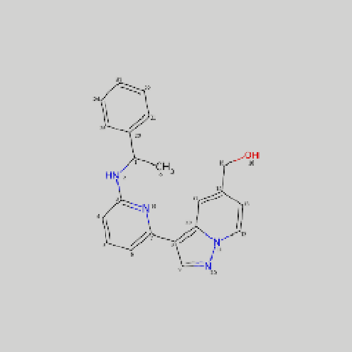 CC(Nc1cccc(-c2cnn3ccc(CO)cc23)n1)c1ccccc1